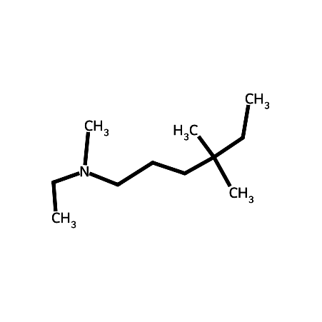 CCN(C)CCCC(C)(C)CC